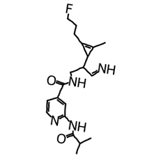 CC1=C(CCCF)C1C(C=N)CNC(=O)c1ccnc(NC(=O)C(C)C)c1